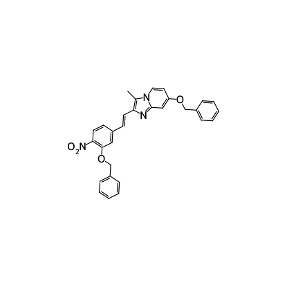 Cc1c(/C=C/c2ccc([N+](=O)[O-])c(OCc3ccccc3)c2)nc2cc(OCc3ccccc3)ccn12